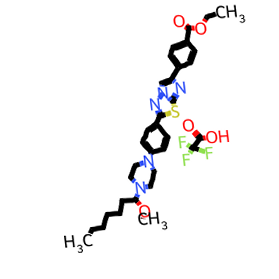 CCCCCCC(OC)N1CCN(c2ccc(-c3nn4cc(-c5ccc(C(=O)OCC)cc5)nc4s3)cc2)CC1.O=C(O)C(F)(F)F